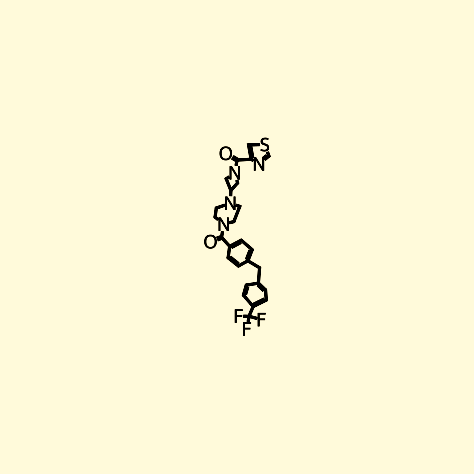 O=C(c1ccc(Cc2ccc(C(F)(F)F)cc2)cc1)N1CCN(C2CN(C(=O)c3cscn3)C2)CC1